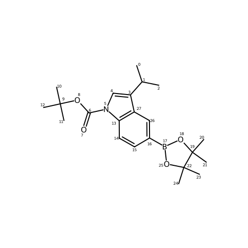 CC(C)c1cn(C(=O)OC(C)(C)C)c2ccc(B3OC(C)(C)C(C)(C)O3)cc12